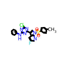 Cc1ccc(S(=O)(=O)n2cc(-c3nc(Cl)nc(NC4CC5CCC4CC5)n3)c3cc(F)cnc32)cc1